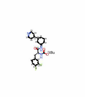 CC(C)(C)OC(=O)N[C@@H](Cc1ccc(F)c(F)c1)C(=O)Nc1cccc(-c2ccncc2)c1